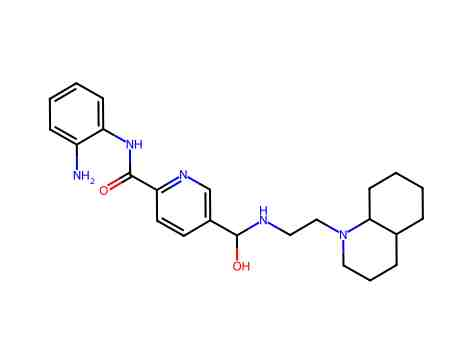 Nc1ccccc1NC(=O)c1ccc(C(O)NCCN2CCCC3CCCCC32)cn1